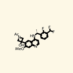 COc1cc2nccc(N[C@H](C)c3cccc(C(F)F)c3F)c2cc1C1(O)CN(C(C)=O)C1